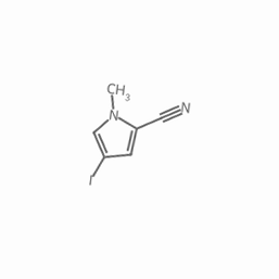 Cn1cc(I)cc1C#N